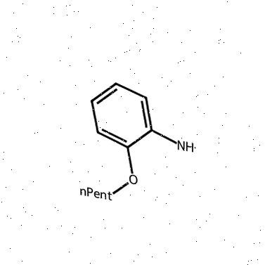 CCCCCOc1ccccc1[NH]